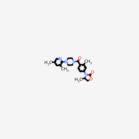 Cc1cnc(N2CCN(C(=O)c3ccc(N4C(=O)OCC4C)cc3C)CC2)c(C)c1